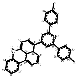 Cc1ccc(-c2cc(C3=CC=C4Oc5ccccc5C5=CC=CC3C45)cc(-c3ccc(C)cc3)n2)cc1